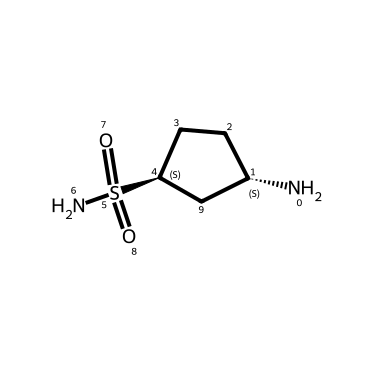 N[C@H]1CC[C@H](S(N)(=O)=O)C1